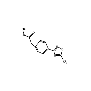 CCCCNC(=O)Cc1ccc(-c2noc(C(F)(F)F)n2)cc1